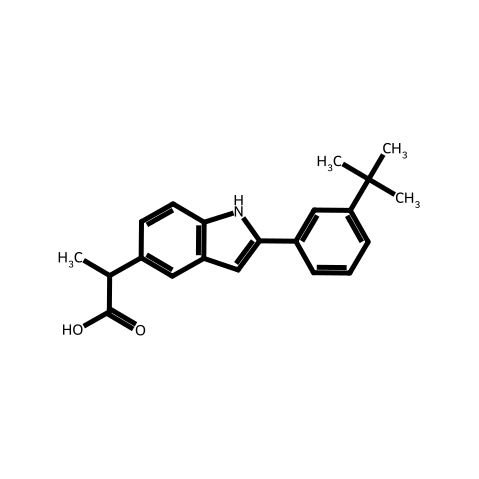 CC(C(=O)O)c1ccc2[nH]c(-c3cccc(C(C)(C)C)c3)cc2c1